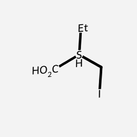 CC[SH](CI)C(=O)O